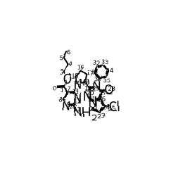 C=C(OCCCC)c1cnc(N)nc1N1CCC[C@H]1c1nn2ccc(Cl)c2c(=O)n1-c1ccccc1